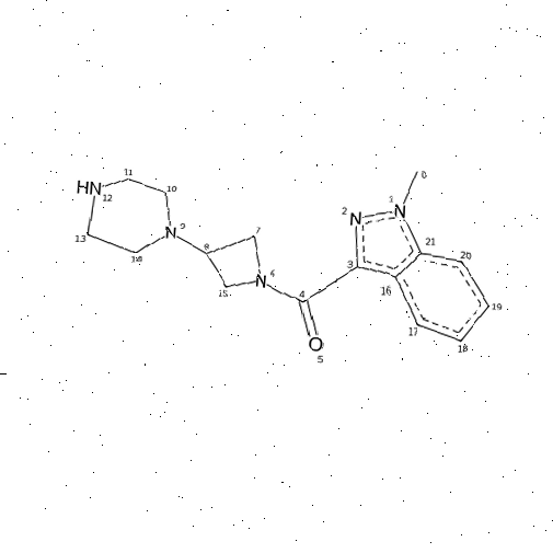 Cn1nc(C(=O)N2CC(N3CCNCC3)C2)c2ccccc21